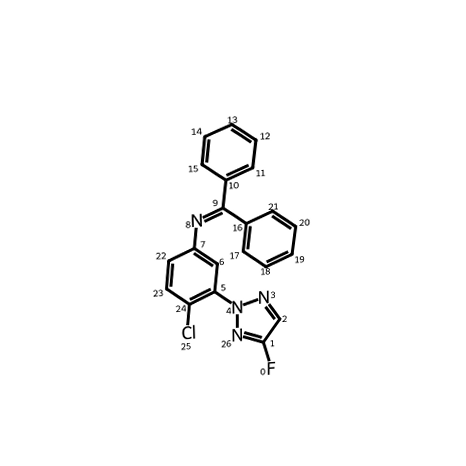 Fc1cnn(-c2cc(N=C(c3ccccc3)c3ccccc3)ccc2Cl)n1